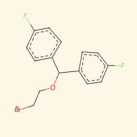 Fc1ccc(C(OCCBr)c2ccc(F)cc2)cc1